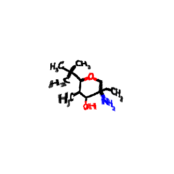 CC1C(C(C)(C)C)OCC(C)(N)C1O